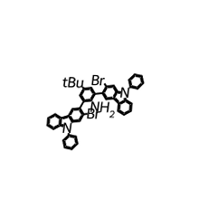 CC(C)(C)c1cc(-c2cc3c4ccccc4n(-c4ccccc4)c3cc2Br)c(N)c(-c2cc3c4ccccc4n(-c4ccccc4)c3cc2Br)c1